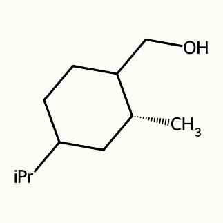 CC(C)C1CCC(CO)[C@H](C)C1